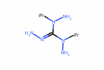 CC(C)N(N)C(=NN)N(N)C(C)C